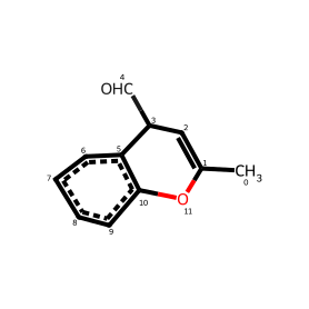 CC1=CC(C=O)c2ccccc2O1